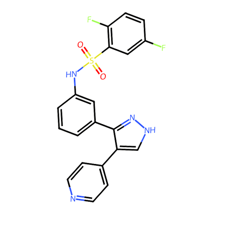 O=S(=O)(Nc1cccc(-c2n[nH]cc2-c2ccncc2)c1)c1cc(F)ccc1F